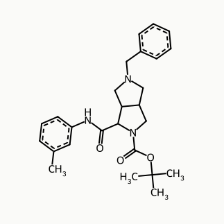 Cc1cccc(NC(=O)C2C3CN(Cc4ccccc4)CC3CN2C(=O)OC(C)(C)C)c1